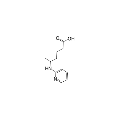 CC(CCCC(=O)O)Nc1ccccn1